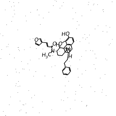 CN(C(=O)/C=C/c1ccoc1)[C@H]1CC[C@H]2[C@H]3Cc4ccc(O)c5c4[C@@]2(CCN3CCc2ccccc2)[C@H]1O5